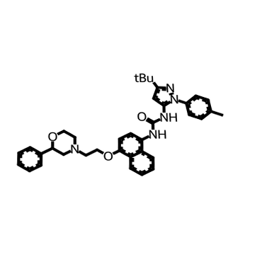 Cc1ccc(-n2nc(C(C)(C)C)cc2NC(=O)Nc2ccc(OCCN3CCOC(c4ccccc4)C3)c3ccccc23)cc1